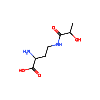 CC(O)C(=O)NCCC(N)C(=O)O